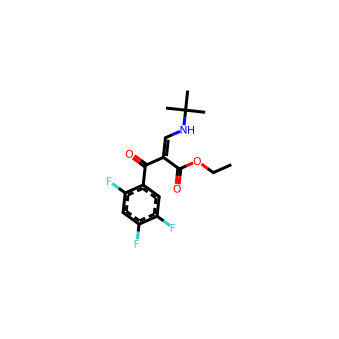 CCOC(=O)C(=CNC(C)(C)C)C(=O)c1cc(F)c(F)cc1F